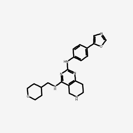 c1ncc(-c2ccc(Nc3nc4c(c(NCC5CCOCC5)n3)CNCC4)cc2)o1